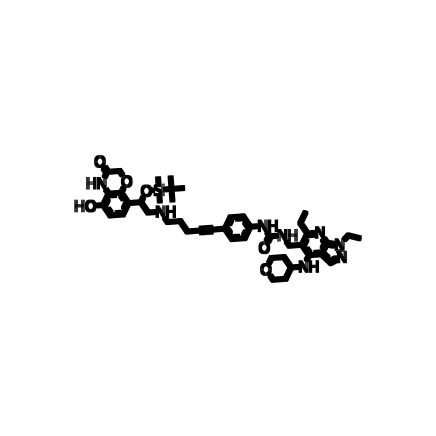 CCc1nc2c(cnn2CC)c(NC2CCOCC2)c1CNC(=O)Nc1ccc(C#CCCCNCC(O[Si](C)(C)C(C)(C)C)c2ccc(O)c3c2OCC(=O)N3)cc1